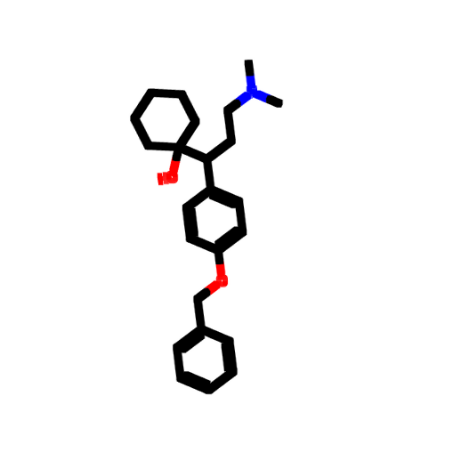 CN(C)CCC(c1ccc(OCc2ccccc2)cc1)C1(O)CCCCC1